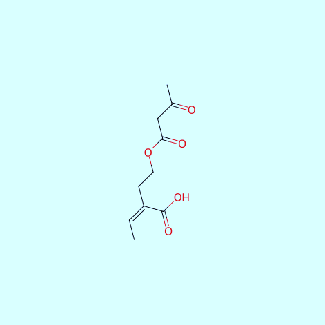 CC=C(CCOC(=O)CC(C)=O)C(=O)O